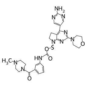 CN1CCN(C(=O)c2cccc(NC(=O)OSN3CCc4c(-c5cnc(N)nc5)nc(N5CCOCC5)nc43)c2)CC1